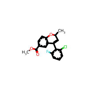 COC(=O)c1ccc2c(c1)C(c1c(F)cccc1Cl)=CC(C)O2